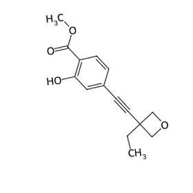 CCC1(C#Cc2ccc(C(=O)OC)c(O)c2)COC1